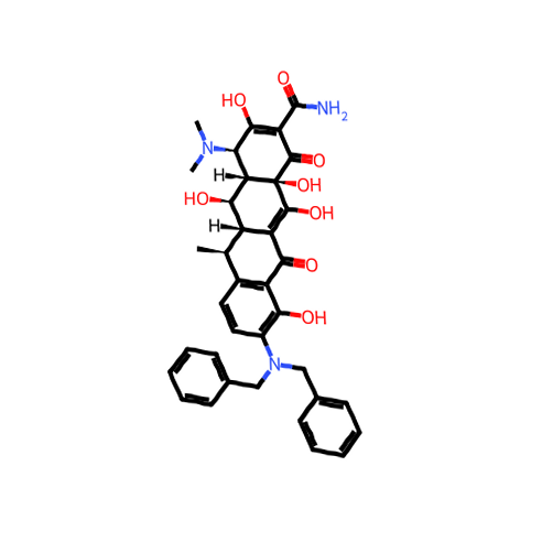 C[C@@H]1c2ccc(N(Cc3ccccc3)Cc3ccccc3)c(O)c2C(=O)C2=C(O)[C@@]3(O)C(=O)C(C(N)=O)=C(O)[C@H](N(C)C)[C@H]3[C@H](O)[C@H]21